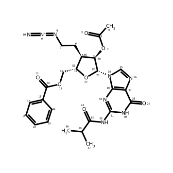 CC(=O)O[C@@H]1[C@H](CCN=[N+]=[N-])[C@@H](COC(=O)c2ccccc2)O[C@H]1n1cnc2c(=O)[nH]c(NC(=O)C(C)C)nc21